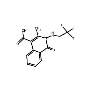 Cc1c(C(=O)O)c2ccccc2c(=O)n1NCC(F)(F)F